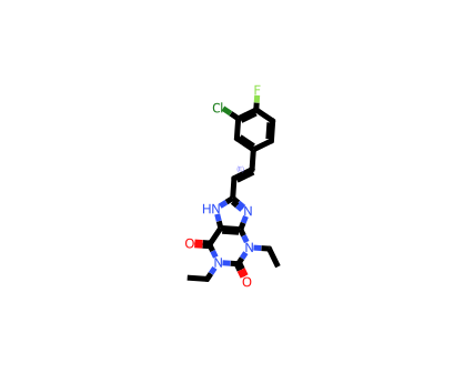 CCn1c(=O)c2[nH]c(/C=C/c3ccc(F)c(Cl)c3)nc2n(CC)c1=O